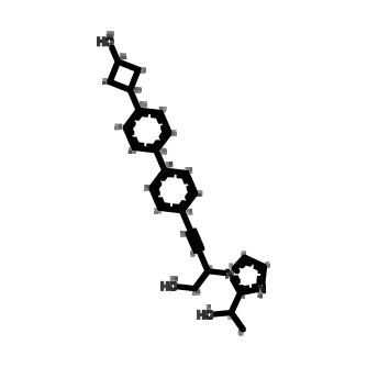 CC(O)c1nccn1C(C#Cc1ccc(-c2ccc(C3CC(O)C3)cc2)cc1)CO